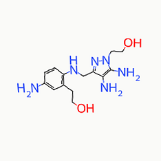 Nc1ccc(NCc2nn(CCO)c(N)c2N)c(CCO)c1